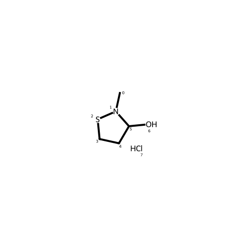 CN1SCCC1O.Cl